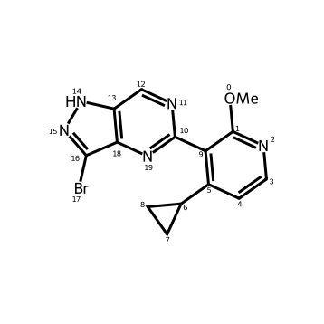 COc1nccc(C2CC2)c1-c1ncc2[nH]nc(Br)c2n1